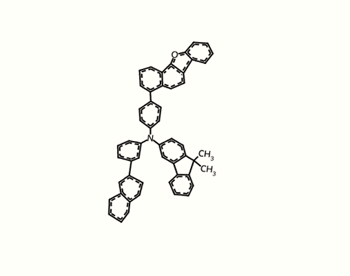 CC1(C)c2ccccc2-c2cc(N(c3ccc(-c4cccc5c4ccc4c6ccccc6oc54)cc3)c3cccc(-c4ccc5ccccc5c4)c3)ccc21